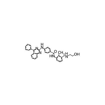 Cc1c(CNCCO)cccc1NC(=O)c1ccc(Nc2nc(-c3ccccc3)c3ccccc3n2)cc1